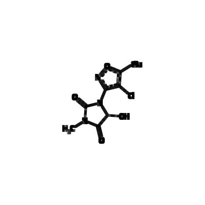 CN1C(=O)C(O)N(c2noc(C(C)(C)C)c2Cl)C1=O